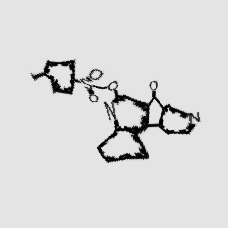 Cc1ccc(S(=O)(=O)Oc2nc3ccccc3c3c2C(=O)c2cnccc2-3)cc1